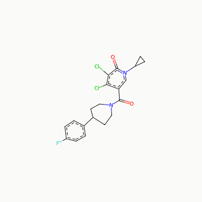 O=C(c1cn(C2CC2)c(=O)c(Cl)c1Cl)N1CCC(c2ccc(F)cc2)CC1